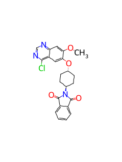 COc1cc2ncnc(Cl)c2cc1O[C@H]1CC[C@H](N2C(=O)c3ccccc3C2=O)CC1